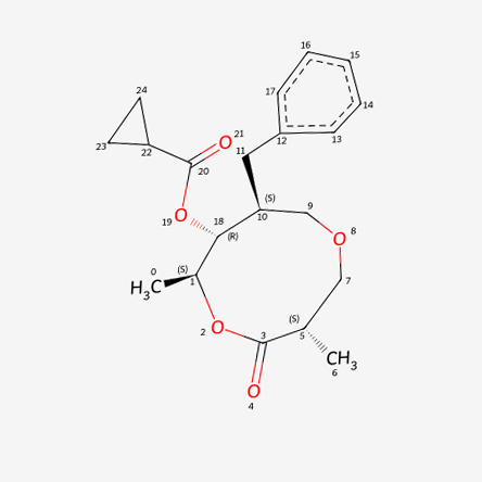 C[C@@H]1OC(=O)[C@@H](C)COC[C@H](Cc2ccccc2)[C@H]1OC(=O)C1CC1